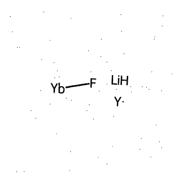 [F][Yb].[LiH].[Y]